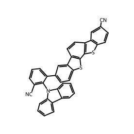 N#Cc1ccc2sc3c(ccc4c5cc(-c6cccc(C#N)c6-n6c7ccccc7c7ccccc76)ccc5sc43)c2c1